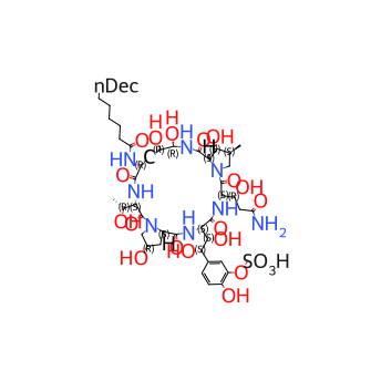 CCCCCCCCCCCCCCCC(=O)N[C@@H]1C[C@@H](O)[C@@H](O)NC(=O)[C@@H]2[C@@H](O)[C@@H](C)CN2C(=O)[C@H]([C@H](O)CC(N)=O)NC(=O)[C@H]([C@H](O)[C@@H](O)c2ccc(O)c(OS(=O)(=O)O)c2)NC(=O)[C@@H]2C[C@@H](O)CN2C(=O)[C@H]([C@@H](C)O)NC1=O